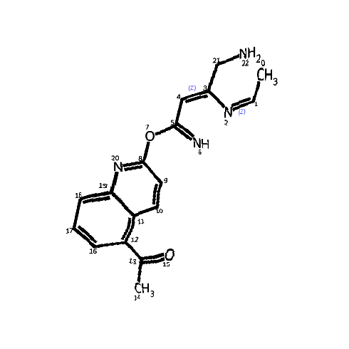 C/C=N\C(=C/C(=N)Oc1ccc2c(C(C)=O)cccc2n1)CN